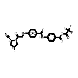 N#C[C@@H]1C[C@H](F)CN1C(=O)CNC12CCC(C(=O)Nc3ccc(C(=O)OC(=O)C(F)(F)F)cc3)(CC1)CC2